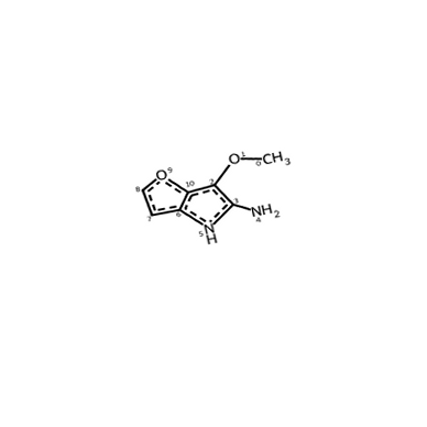 COc1c(N)[nH]c2ccoc12